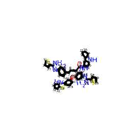 NC(=Nc1ccc(CCCC(=O)Nc2ccc3[nH]c4ccccc4c3c2)cc1)c1cccs1.NC(=Nc1ccc(Oc2ccc3c(c2)Nc2ccccc2S3)cc1)c1cccs1